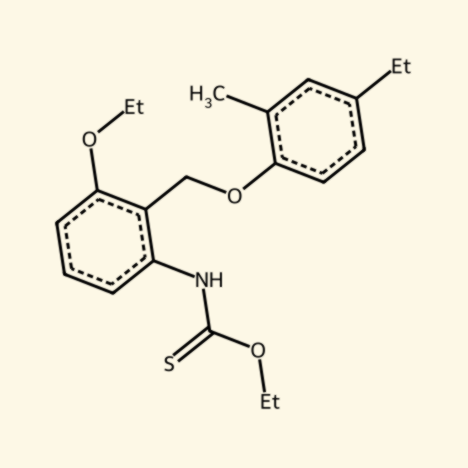 CCOC(=S)Nc1cccc(OCC)c1COc1ccc(CC)cc1C